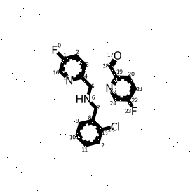 Fc1ccc(CNCc2ccccc2Cl)nc1.O=Cc1ccc(F)cn1